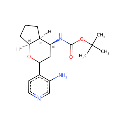 CC(C)(C)OC(=O)N[C@H]1CC(c2ccncc2N)O[C@H]2CCC[C@@H]12